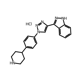 Cl.c1ccc2c(-c3cn(-c4ccc(C5CCNCC5)cc4)nn3)n[nH]c2c1